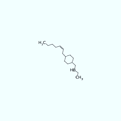 CCBCC1CCC(C/C=C\CCCC)CC1